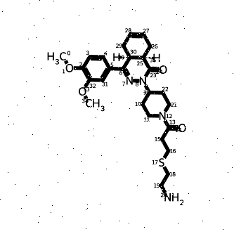 COc1ccc(C2=NN(C3CCN(C(=O)CCSCCN)CC3)C(=O)[C@@H]3CC=CC[C@H]23)cc1OC